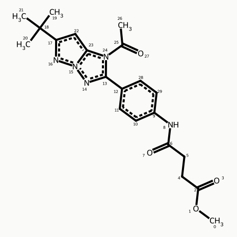 COC(=O)CCC(=O)Nc1ccc(-c2nn3nc(C(C)(C)C)cc3n2C(C)=O)cc1